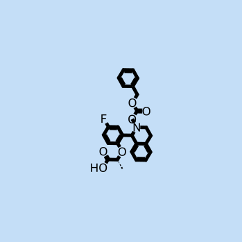 C[C@@H](Oc1ccc(F)cc1C1c2ccccc2CCN1OC(=O)OCc1ccccc1)C(=O)O